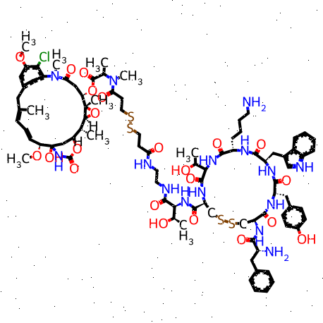 COc1cc2cc(c1Cl)N(C)C(=O)C[C@H](OC(=O)C(C)N(C)C(=O)CCSSCCC(=O)NCCNC(=O)[C@@H](NC(=O)[C@@H]1CSSC[C@H](NC(=O)[C@H](N)Cc3ccccc3)C(=O)N[C@@H](Cc3ccc(O)cc3)C(=O)N[C@H](Cc3c[nH]c4ccccc34)C(=O)N[C@@H](CCCCN)C(=O)NC(C(C)O)C(=O)N1)[C@@H](C)O)[C@]1(C)O[C@H]1[C@H](C)[C@@H]1CC(O)(NC(=O)O1)[C@H](OC)/C=C/C=C(\C)C2